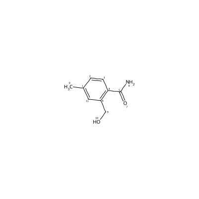 Cc1ccc(C(N)=O)c(CO)c1